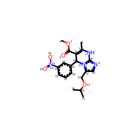 COC(=O)C1=C(C)Nc2ncc(COC(C)C)n2C1c1cccc([N+](=O)[O-])c1